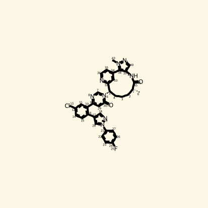 C[C@@H]1CCC[C@H](n2cnc(-c3cc(Cl)ccc3-c3cnn(-c4ccc(F)cc4)c3)cc2=O)c2cc(ccn2)-c2c(cnn2C)NC1=O